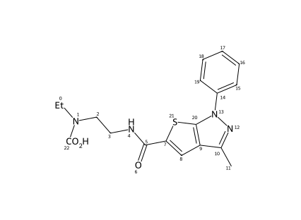 CCN(CCNC(=O)c1cc2c(C)nn(-c3ccccc3)c2s1)C(=O)O